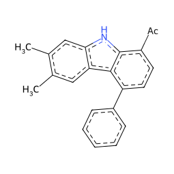 CC(=O)c1ccc(-c2ccccc2)c2c1[nH]c1cc(C)c(C)cc12